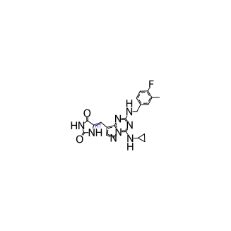 Cc1cc(CNc2nc(NC3CC3)n3ncc(/C=C4\NC(=O)NC4=O)c3n2)ccc1F